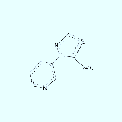 Nc1scnc1-c1cccnc1